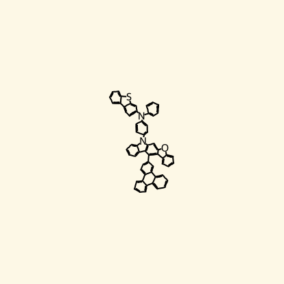 c1ccc(N(c2ccc(-n3c4ccccc4c4c(-c5ccc6c7ccccc7c7ccccc7c6c5)c5c(cc43)oc3ccccc35)cc2)c2ccc3c(c2)sc2ccccc23)cc1